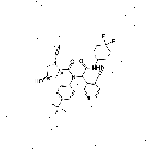 CC(C)(C)c1ccc(N(C(=O)[C@H]2C[C@@H](O)CN2C#N)C(C(=O)NC2CCC(F)(F)CC2)c2cnccc2C#N)cc1